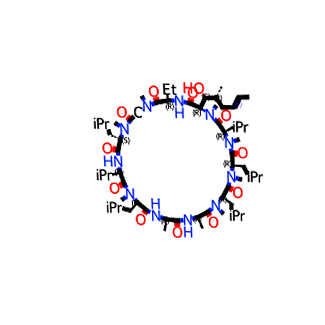 C/C=C/C[C@@H](C)[C@H](O)[C@@H]1C(=O)N[C@H](CC)C(=O)N(C)CC(=O)N(C)[C@@H](CC(C)C)C(=O)N[C@H](C(C)C)C(=O)N(C)[C@H](CC(C)C)C(=O)N[C@H](C)C(=O)N[C@H](C)C(=O)N(C)[C@H](CC(C)C)C(=O)N(C)[C@H](CC(C)C)C(=O)N(C)[C@H](C(C)C)C(=O)N1C